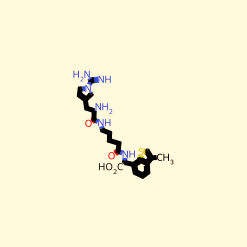 Cc1csc2c(C(NC(=O)CCCCNC(=O)C(N)CC3=CCN(C(=N)N)C3)C(=O)O)cccc12